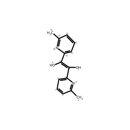 Cc1cccc(/C(O)=C(\O)c2cccc(C)n2)n1